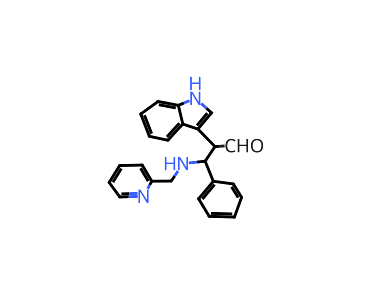 O=CC(c1c[nH]c2ccccc12)C(NCc1ccccn1)c1ccccc1